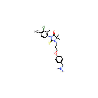 Cc1c(N2C(=O)C(C)(C)N(CCCOc3ccc(CN(C)C)cc3)C2=S)ccc(C#N)c1Cl